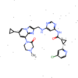 CN1CCN(c2cc(C3CC3)cn3cc(CNc4cc(NC(=O)[C@H]5C[C@@H]5c5cc(Cl)ccn5)ncn4)nc23)C(=O)C1